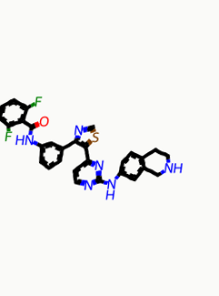 O=C(Nc1cccc(-c2ncsc2-c2ccnc(Nc3ccc4c(c3)CNCC4)n2)c1)c1c(F)cccc1F